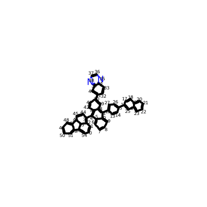 C1=CC2=C(c3c4ccccc4c(-c4ccc(-c5ccc6ccccc6c5)cc4)c4cc(-c5ccc6nccnc6c5)ccc34)C=CC3c4ccccc4C(=C1)C23